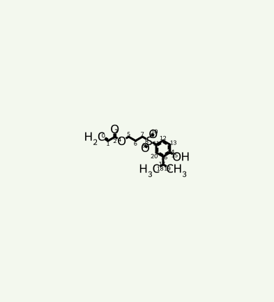 C=CC(=O)OCCCS(=O)(=O)c1ccc(O)c(C(C)C)c1